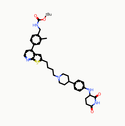 Cc1cc(-c2ccnc3sc(CCCCN4CCC(c5ccc(NC6CCC(=O)NC6=O)cc5)CC4)cc23)ccc1CNC(=O)OC(C)(C)C